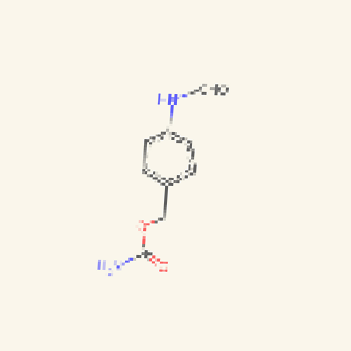 NC(=O)OCc1ccc(NC=O)cc1